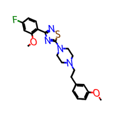 COc1cccc(CCN2CCN(c3nc(-c4ccc(F)cc4OC)ns3)CC2)c1